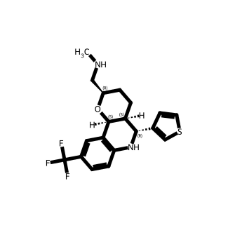 CNC[C@H]1CC[C@@H]2[C@H](O1)c1cc(C(F)(F)F)ccc1N[C@H]2c1ccsc1